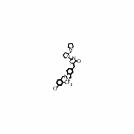 O=C1N=C(N2CCC[C@H]2CN2CCCC2)S/C1=C\c1ccc2c(cnn2Cc2ccc(Cl)cc2C(F)(F)F)c1